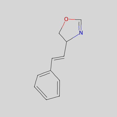 C(=CC1COC=N1)c1ccccc1